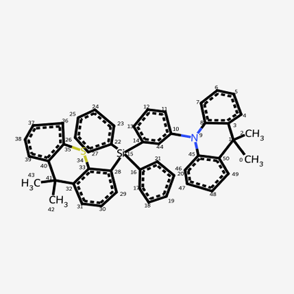 CC1(C)c2ccccc2N(c2cccc([Si](c3ccccc3)(c3ccccc3)c3cccc4c3Sc3ccccc3C4(C)C)c2)c2ccccc21